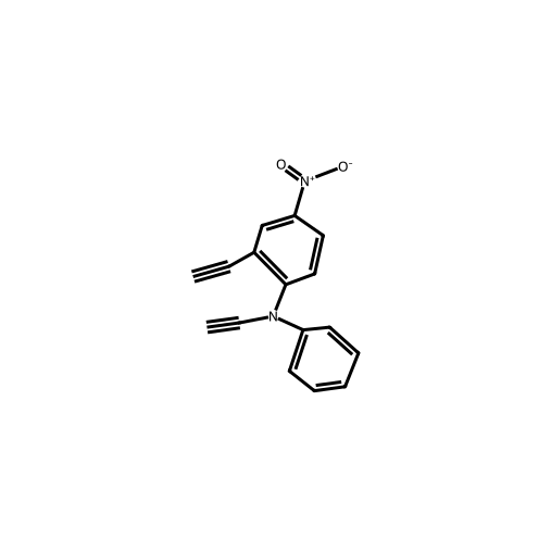 C#Cc1cc([N+](=O)[O-])ccc1N(C#C)c1ccccc1